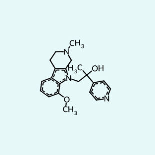 COc1cccc2c3c(n(CC(C)(O)c4ccncc4)c12)CN(C)CC3